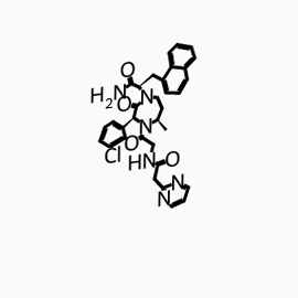 C[C@@H]1CCN([C@H](Cc2cccc3ccccc23)C(N)=O)C(=O)[C@H](c2cccc(Cl)c2)N1C(=O)CNC(=O)Cc1ncccn1